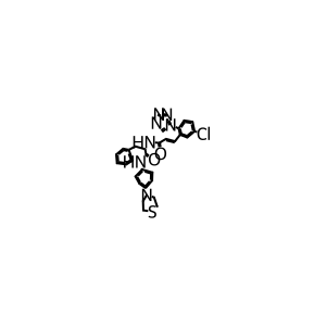 O=C(/C=C/c1cc(Cl)ccc1-n1cnnn1)NC(Cc1ccccc1)C(=O)Nc1ccc(N2CCSCC2)cc1